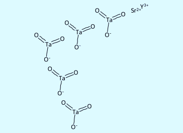 [O]=[Ta](=[O])[O-].[O]=[Ta](=[O])[O-].[O]=[Ta](=[O])[O-].[O]=[Ta](=[O])[O-].[O]=[Ta](=[O])[O-].[Sr+2].[Y+3]